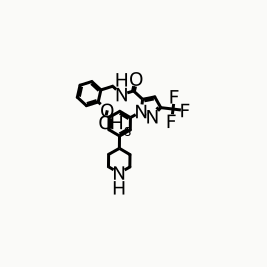 COc1ccccc1CNC(=O)c1cc(C(F)(F)F)nn1-c1cccc(C2CCNCC2)c1